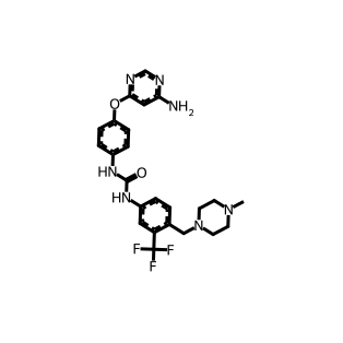 CN1CCN(Cc2ccc(NC(=O)Nc3ccc(Oc4cc(N)ncn4)cc3)cc2C(F)(F)F)CC1